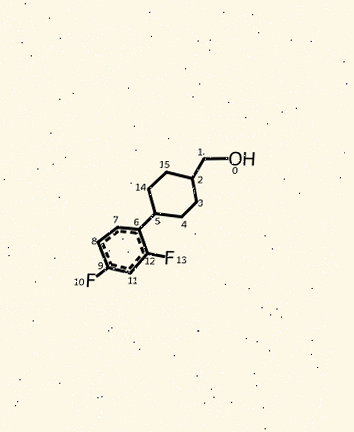 OCC1CCC(c2ccc(F)cc2F)CC1